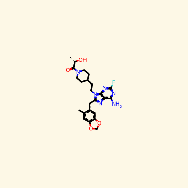 Cc1cc2c(cc1Cc1nc3c(N)nc(F)nc3n1CCC1CCN(C(=O)[C@H](C)O)CC1)OCO2